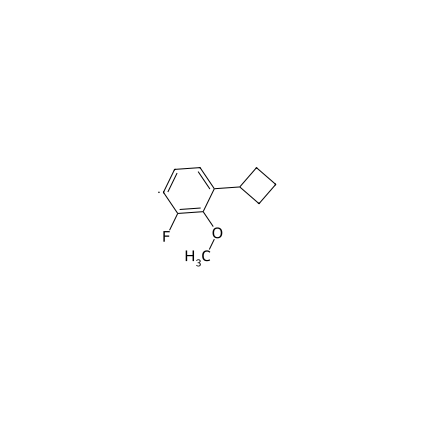 COc1c(F)[c]ccc1C1CCC1